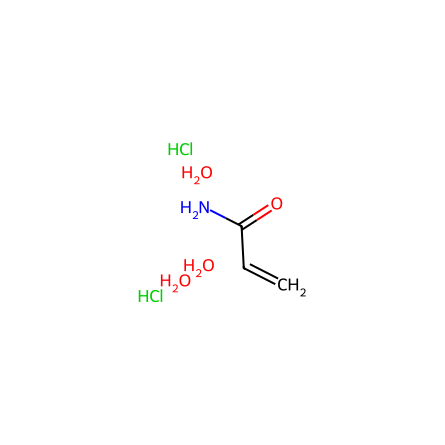 C=CC(N)=O.Cl.Cl.O.O.O